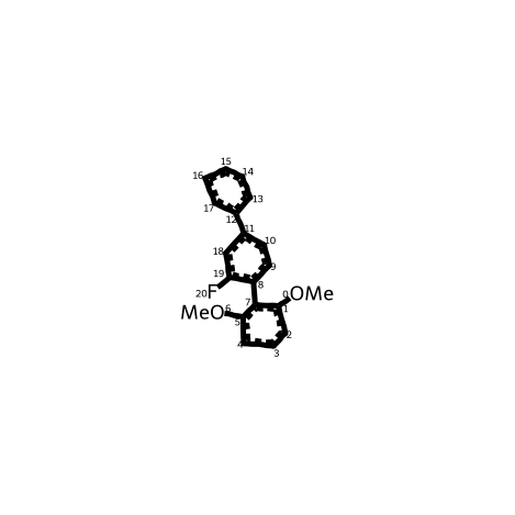 COc1cccc(OC)c1-c1ccc(-c2ccccc2)cc1F